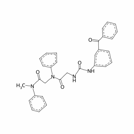 CN(C(=O)CN(C(=O)CNC(=O)Nc1cccc(C(=O)c2ccccc2)c1)c1ccccc1)c1ccccc1